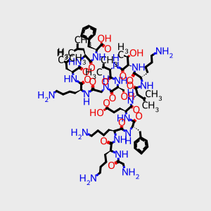 CC(C)C[C@H](NC(=O)[C@H](CC(C)C)NC(=O)[C@H](CCCCN)NC(=O)CNC(=O)[C@H](CO)NC(=O)[C@@H](NC(=O)[C@@H](NC(=O)[C@H](CCCCN)NC(=O)[C@@H](NC(=O)[C@H](CCC(=O)O)NC(=O)[C@H](Cc1ccccc1)NC(=O)[C@H](CCCCN)NC(=O)[C@H](CCCCN)NC(=O)CN)C(C)C)[C@@H](C)O)C(C)C)C(=O)N[C@@H](Cc1ccccc1)C(=O)O